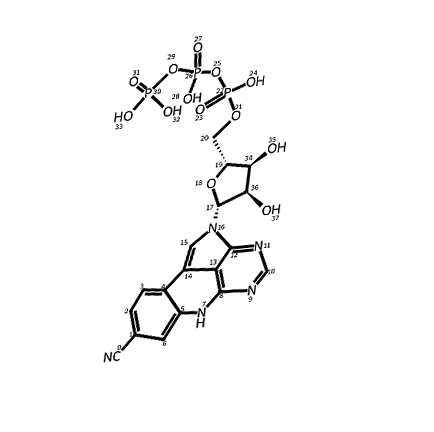 N#Cc1ccc2c(c1)Nc1ncnc3c1c-2cn3[C@@H]1O[C@H](COP(=O)(O)OP(=O)(O)OP(=O)(O)O)[C@@H](O)[C@H]1O